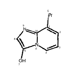 CC(C)c1cccn2c(O)cnc12